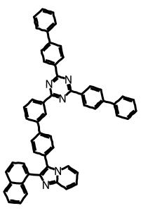 c1ccc(-c2ccc(-c3nc(-c4ccc(-c5ccccc5)cc4)nc(-c4cccc(-c5ccc(-c6c(-c7cccc8ccccc78)nc7ccccn67)cc5)c4)n3)cc2)cc1